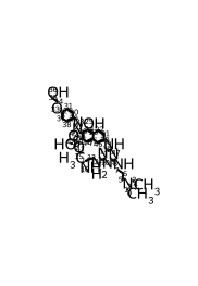 CCN(CC)CCCNc1nc(NCC(C)N)nc(Nc2ccc3c(O)c(N=Nc4ccc(OCCO)cc4)c(S(=O)(=O)O)cc3c2)n1